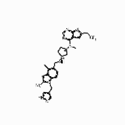 Cc1c(CN[C@H]2CC[C@@H](N(C)c3ncnc4sc(CC(F)(F)F)cc34)C2)ccc2c1cc(C#N)n2Cc1cn[nH]c1